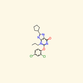 CCCn1c(Oc2ccc(Cl)cc2Cl)nc(=O)c2c1N=C(C1CCCC1)[N]2